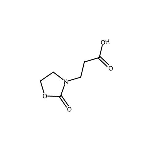 O=C(O)CCN1CCOC1=O